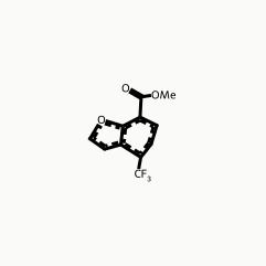 COC(=O)c1ccc(C(F)(F)F)c2ccoc12